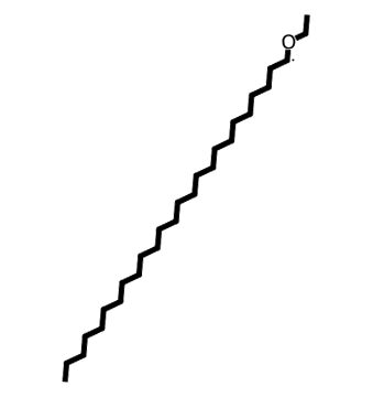 CCCCCCCCCCCCCCCCCCCCCCCC[CH]OCC